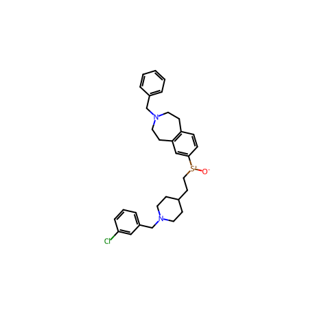 [O-][S+](CCC1CCN(Cc2cccc(Cl)c2)CC1)c1ccc2c(c1)CCN(Cc1ccccc1)CC2